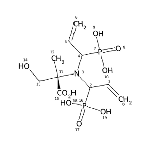 C=CC(N(C(C=C)P(=O)(O)O)[C@@](C)(CO)C(=O)O)P(=O)(O)O